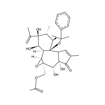 C=C(C)[C@]1(O)[C@H](C)[C@@H](C)[C@]2(OC(C)(C)c3ccccc3)C3C=C(C)C(=O)[C@@]3(O)[C@H](O)[C@@]3(COC(C)=O)O[C@H]3[C@H]2[C@H]1O